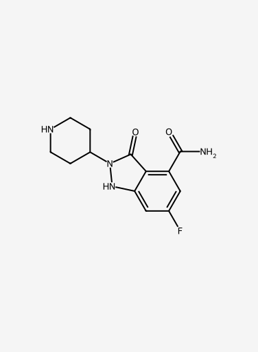 NC(=O)c1cc(F)cc2[nH]n(C3CCNCC3)c(=O)c12